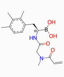 C=CC(=O)N(C)CC(=O)N[C@@H](Cc1ccc(C)c(C)c1C)B(O)O